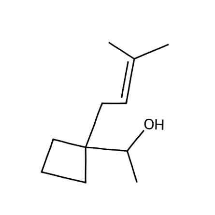 CC(C)=CCC1(C(C)O)CCC1